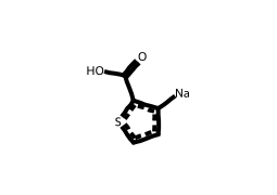 O=C(O)c1scc[c]1[Na]